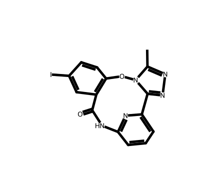 Cc1nnc2n1Oc1ccc(I)cc1C(=O)Nc1cccc-2n1